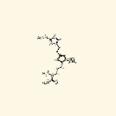 CC(=O)Nc1nc(CCc2cc(C)c(CCCN(N)C(N)=O)s2)cs1.Cl